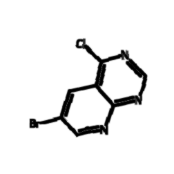 Clc1ncnc2ncc(Br)cc12